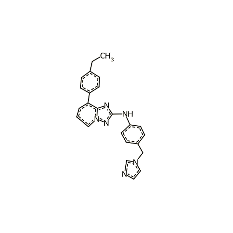 CCc1ccc(-c2cccn3nc(Nc4ccc(Cn5ccnc5)cc4)nc23)cc1